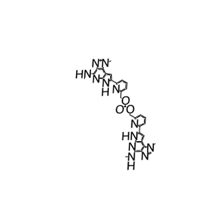 CNc1nc2[nH]c(-c3cccc(COC(=O)OCc4cccc(-c5cc6c(nc(NC)c7ncn(C)c76)[nH]5)n4)n3)cc2c2c1ncn2C